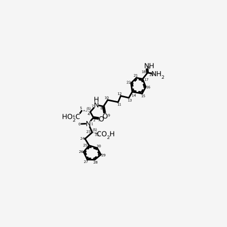 CN(C(=O)[C@H](CC(=O)O)NC(=O)CCCCc1ccc(C(=N)N)cc1)[C@@H](Cc1ccccc1)C(=O)O